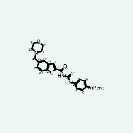 CCCCCc1ccc(NC(=S)NC(=O)c2cc3cc(CN4CCOCC4)ccc3o2)cc1